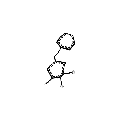 Cc1cc(Cc2ccccc2)cc(Br)c1O